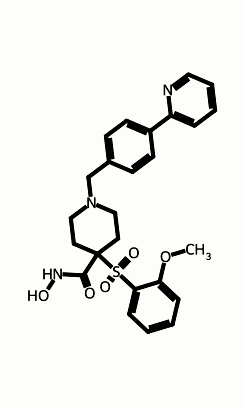 COc1ccccc1S(=O)(=O)C1(C(=O)NO)CCN(Cc2ccc(-c3ccccn3)cc2)CC1